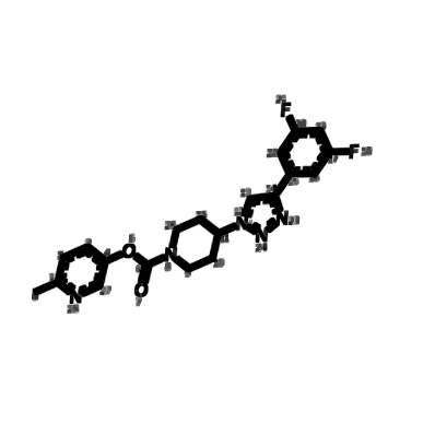 Cc1ccc(OC(=O)N2CCC(n3cc(-c4cc(F)cc(F)c4)nn3)CC2)cn1